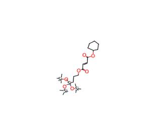 C[Si](C)(C)O[Si](CCCOC(=O)C=CC(=O)OC1CCCCC1)(O[Si](C)(C)C)O[Si](C)(C)C